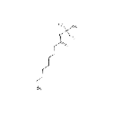 C=CCCCCCCC(=O)OC(C)(C)C